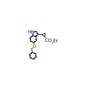 CCOC(=O)C1CC1c1c[nH]c2ccc(OCc3ccccc3)cc12